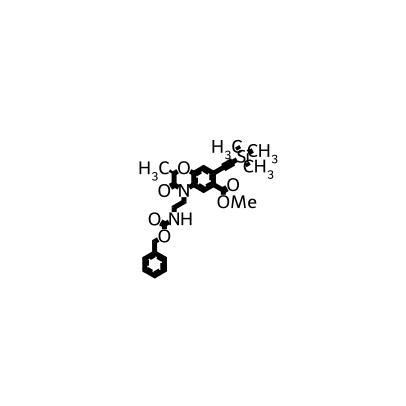 COC(=O)c1cc2c(cc1C#C[Si](C)(C)C)O[C@H](C)C(=O)N2CCNC(=O)OCc1ccccc1